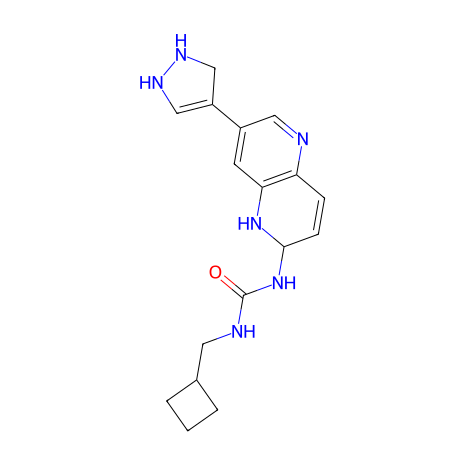 O=C(NCC1CCC1)NC1C=Cc2ncc(C3=CNNC3)cc2N1